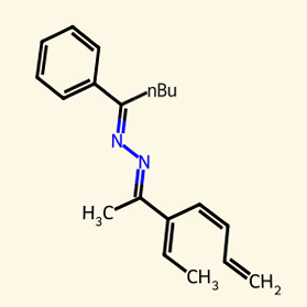 C=C\C=C/C(=C\C)C(/C)=N/N=C(\CCCC)c1ccccc1